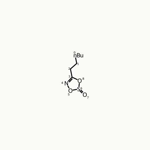 CCCCCCC1=NOS(=O)O1